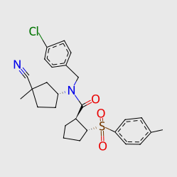 Cc1ccc(S(=O)(=O)[C@@H]2CCC[C@H]2C(=O)N(Cc2ccc(Cl)cc2)[C@@H]2CCC(C)(C#N)C2)cc1